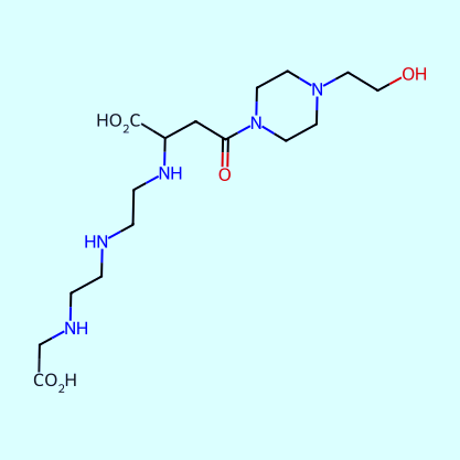 O=C(O)CNCCNCCNC(CC(=O)N1CCN(CCO)CC1)C(=O)O